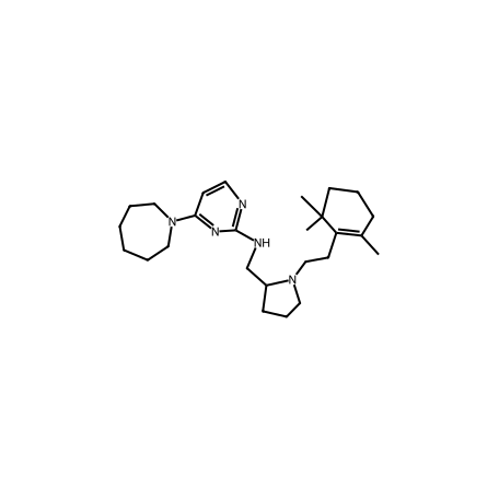 CC1=C(CCN2CCCC2CNc2nccc(N3CCCCCC3)n2)C(C)(C)CCC1